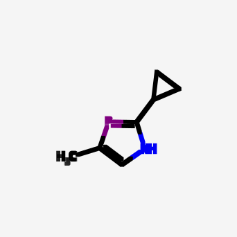 Cc1c[nH]c(C2CC2)p1